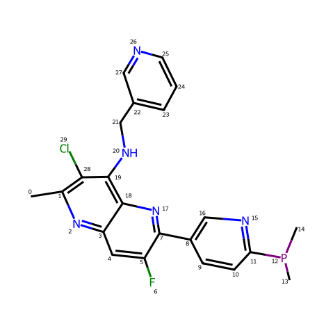 Cc1nc2cc(F)c(-c3ccc(P(C)C)nc3)nc2c(NCc2cccnc2)c1Cl